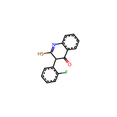 O=C1c2ccccc2N=C(S)C1c1ccccc1F